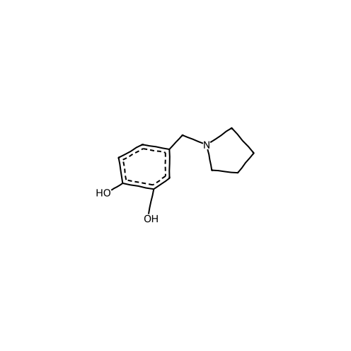 Oc1ccc(CN2CCCC2)cc1O